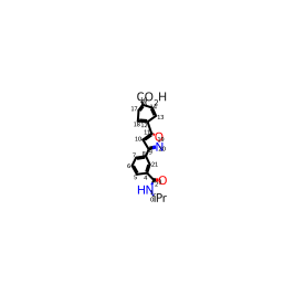 CC(C)NC(=O)c1cccc(-c2cc(-c3ccc(C(=O)O)cc3)on2)c1